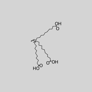 C=C[Si](CCCCCCCCCC(=O)O)(CCCCCCCCCC(=O)O)CCCCCCCCCC(=O)O